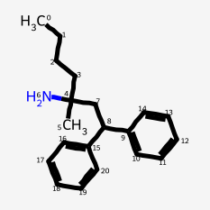 CCCCC(C)(N)CC(c1ccccc1)c1ccccc1